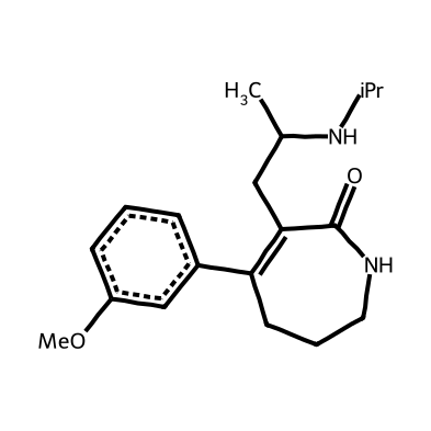 COc1cccc(C2=C(CC(C)NC(C)C)C(=O)NCCC2)c1